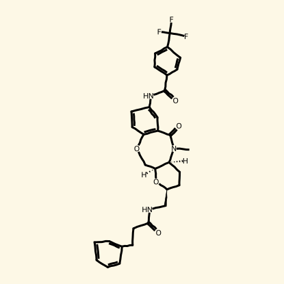 CN1C(=O)c2cc(NC(=O)c3ccc(C(F)(F)F)cc3)ccc2OC[C@@H]2O[C@H](CNC(=O)CCc3ccccc3)CC[C@@H]21